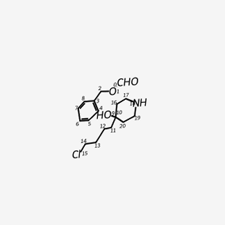 O=COCc1ccccc1.OC1(CCCCCl)CCNCC1